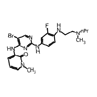 CCCN(C)CCNc1ccc(Nc2ncc(Br)c(Nc3cccn(C)c3=O)n2)cc1F